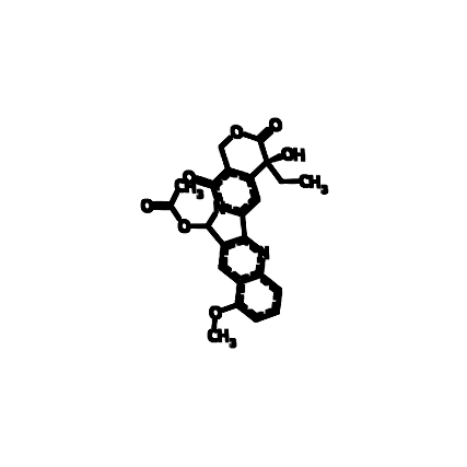 CC[C@@]1(O)C(=O)OCc2c1cc1n(c2=O)C(OC(C)=O)c2cc3c(OC)cccc3nc2-1